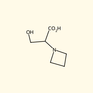 O=C(O)C(CO)N1CCC1